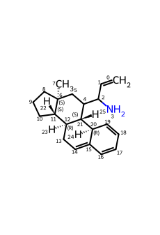 C=CC(N)C1C[C@]2(C)CCC[C@H]2[C@@H]2CC=C3C=CC=C[C@@H]3[C@@H]12